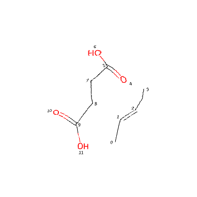 CC=CC.O=C(O)CCC(=O)O